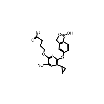 CCC(=O)CCCOc1nc(Oc2ccc3c(c2)COB3O)c(C2CC2)cc1C#N